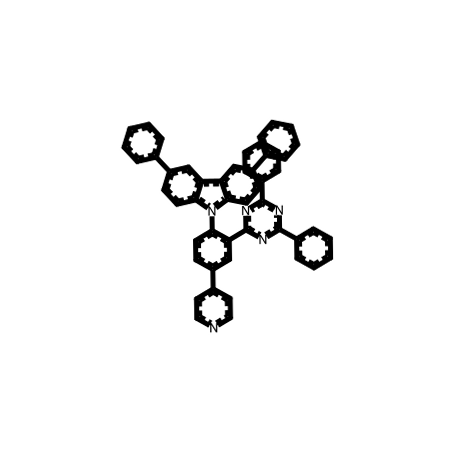 c1ccc(-c2ccc3c(c2)c2cc(-c4ccccc4)ccc2n3-c2ccc(-c3ccncc3)cc2-c2nc(-c3ccccc3)nc(-c3ccccc3)n2)cc1